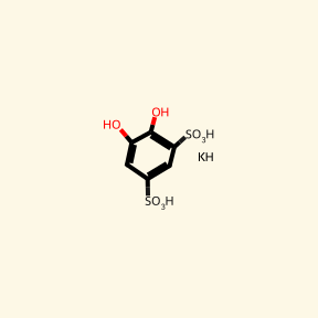 O=S(=O)(O)c1cc(O)c(O)c(S(=O)(=O)O)c1.[KH]